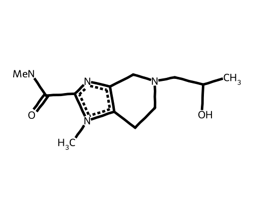 CNC(=O)c1nc2c(n1C)CCN(CC(C)O)C2